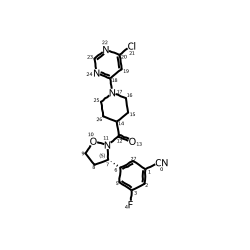 N#Cc1cc(F)cc([C@@H]2CCON2C(=O)C2CCN(c3cc(Cl)ncn3)CC2)c1